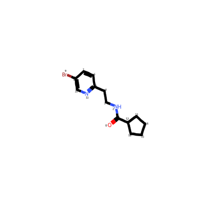 O=C(NCCc1ccc(Br)cn1)C1CCCC1